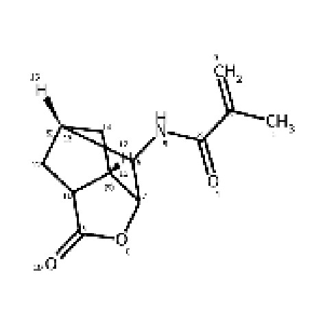 C=C(C)C(=O)NC1C2OC(=O)C3C[C@@H]1C[C@@H]32